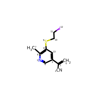 C=C(C#N)c1cnc(C)c(SCCI)c1